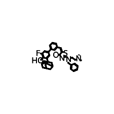 CN(C)CCN(Cc1ccccc1)C1=NC(=O)C(=Cc2cccc(-c3cc(F)c(O)c(C45CC6CC(CC(C6)C4)C5)c3)c2)S1